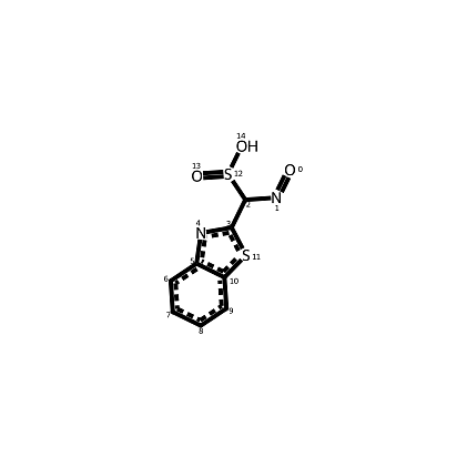 O=NC(c1nc2ccccc2s1)S(=O)O